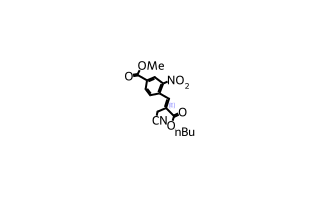 CCCCOC(=O)/C(=C/c1ccc(C(=O)OC)cc1[N+](=O)[O-])CC#N